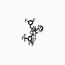 CC(NC(=O)c1cc(C(F)(F)F)cc(C(F)(F)F)c1)c1nc(Cc2cc(F)cc(F)c2)nn1-c1ncccn1